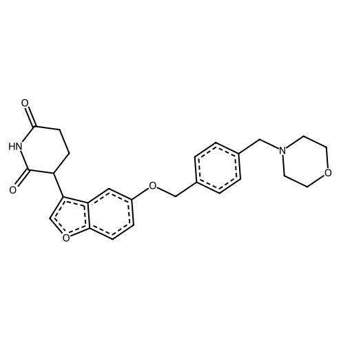 O=C1CCC(c2coc3ccc(OCc4ccc(CN5CCOCC5)cc4)cc23)C(=O)N1